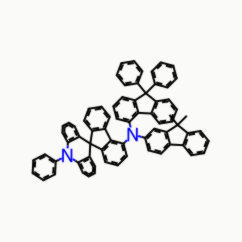 CC1(C)c2ccccc2-c2ccc(N(c3cccc4c3-c3ccccc3C4(c3ccccc3)c3ccccc3)c3cccc4c3-c3ccccc3C43c4ccccc4N(c4ccccc4)c4ccccc43)cc21